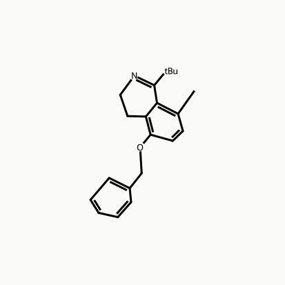 Cc1ccc(OCc2ccccc2)c2c1C(C(C)(C)C)=NCC2